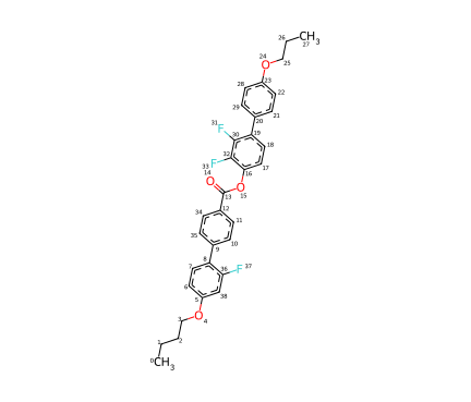 CCCCOc1ccc(-c2ccc(C(=O)Oc3ccc(-c4ccc(OCCC)cc4)c(F)c3F)cc2)c(F)c1